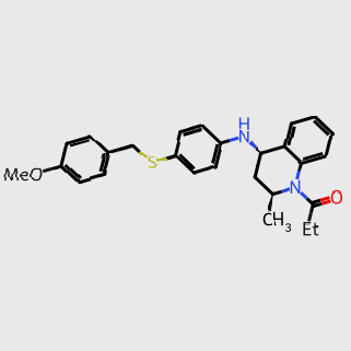 CCC(=O)N1c2ccccc2[C@H](Nc2ccc(SCc3ccc(OC)cc3)cc2)C[C@@H]1C